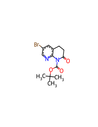 CC(C)(C)OC(=O)N1C(=O)CCc2cc(Br)cnc21